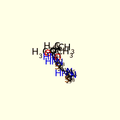 COc1ccc(C(C)(C)C)cc1NC(=O)Nc1ncc(CCNc2ncnc3ccsc23)s1